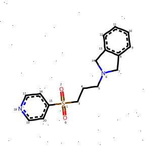 O=S(=O)(CCCN1Cc2ccccc2C1)c1ccncc1